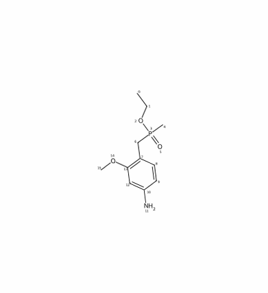 CCOP(C)(=O)Cc1ccc(N)cc1OC